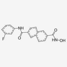 O=C(NO)c1ccc2cc(C(=O)Nc3cccc(F)c3)ccc2c1